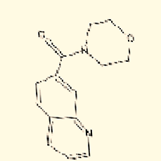 O=C(c1ccc2cccnc2c1)N1CCOCC1